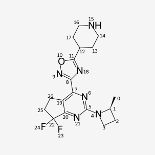 C[C@H]1CCN1c1nc(-c2noc(C3CCNCC3)n2)c2c(n1)C(F)(F)CC2